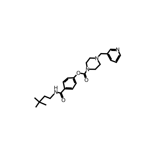 CC(C)(C)CCNC(=O)c1ccc(OC(=O)N2CCN(Cc3cccnc3)CC2)cc1